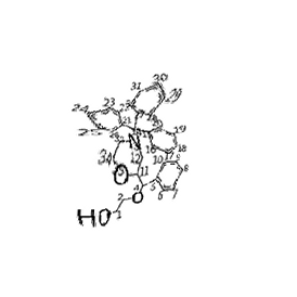 OCCOC(c1ccccc1)C1CN(C(c2ccccc2)(c2ccccc2)c2ccccc2)CCO1